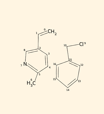 C=Cc1ccc(C)nc1.ClCc1ccccc1